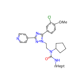 CCCCCCCNC(=O)N(CCn1nc(-c2ccncc2)nc1-c1ccc(OC)c(Cl)c1)C1CCCC1